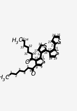 CCCCCCC(=O)c1csc(-c2ccsc2-c2ccsc2-c2cccs2)c1C(=O)CCCCCC